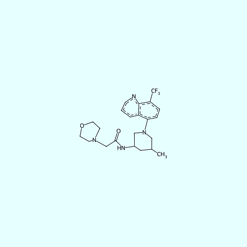 CC1CC(NC(=O)CN2CCOCC2)CN(c2ccc(C(F)(F)F)c3ncccc23)C1